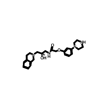 O=C(COc1cccc(N2CCNCC2)c1)NC[C@@H](O)CN1CCc2ccccc2C1